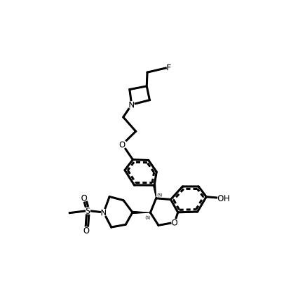 CS(=O)(=O)N1CCC([C@@H]2COc3cc(O)ccc3[C@@H]2c2ccc(OCCN3CC(CF)C3)cc2)CC1